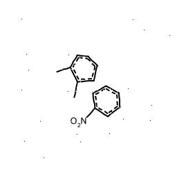 Cc1ccccc1C.O=[N+]([O-])c1ccccc1